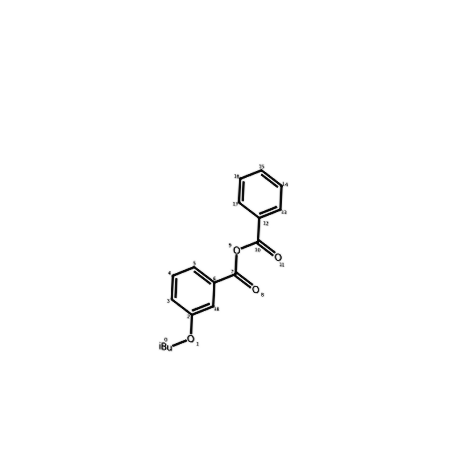 CCC(C)Oc1cccc(C(=O)OC(=O)c2ccccc2)c1